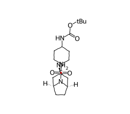 CC(C)(C)OC(=O)NC1CCN(S(=O)(=O)N2[C@@H]3CC[C@H]2C[C@@H](N)C3)CC1